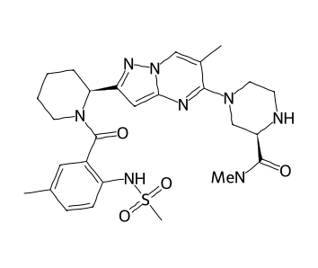 CNC(=O)[C@H]1CN(c2nc3cc([C@@H]4CCCCN4C(=O)c4cc(C)ccc4NS(C)(=O)=O)nn3cc2C)CCN1